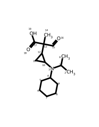 CC(C)N(C1CCCCC1)C1CC1C(C)(C=O)C(=O)O